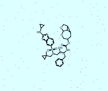 CC1(CN(C[C@@H](O)[C@H](Cc2ccccc2)NC(=O)OC2COC3OCC4C(C2)C34)S(=O)(=O)c2ccc3nc(NC4CC4)sc3c2)CC1